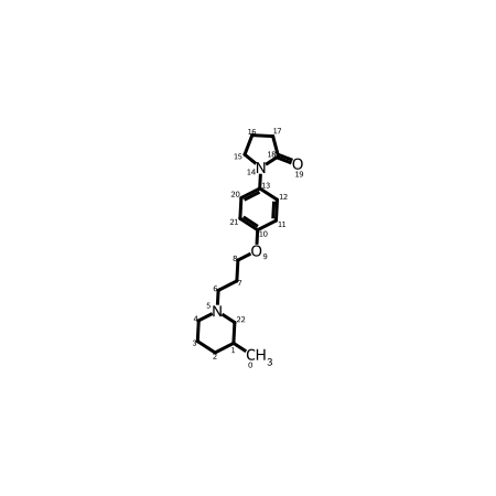 CC1CCCN(CCCOc2ccc(N3CCCC3=O)cc2)C1